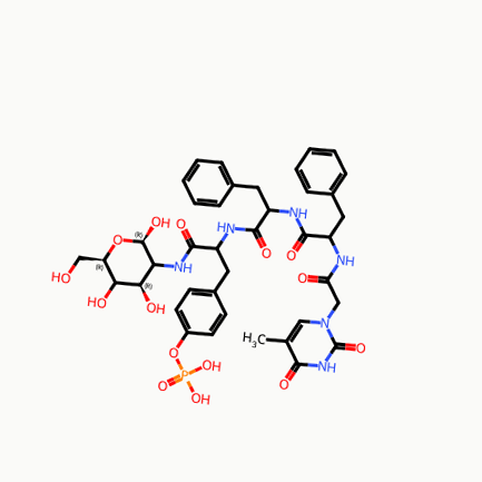 Cc1cn(CC(=O)NC(Cc2ccccc2)C(=O)NC(Cc2ccccc2)C(=O)NC(Cc2ccc(OP(=O)(O)O)cc2)C(=O)NC2[C@@H](O)C(O)[C@@H](CO)O[C@H]2O)c(=O)[nH]c1=O